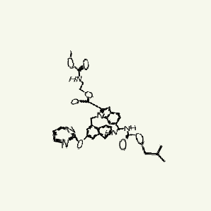 COC(=O)NCCOC(=O)c1cc2ccc(C(=N)NC(=O)OCC(C)C)cc2n1Cc1cc(Oc2ncccn2)cc2ccccc12